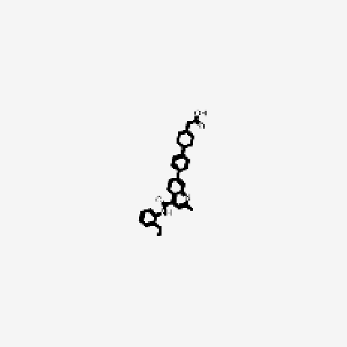 CCc1ccccc1NC(=O)c1cc(C)nc2cc(-c3ccc(C4CCC(CC(=O)O)CC4)cc3)ccc12